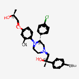 C[C@H](O)COc1ccc(N2CCN(C[C@@](C)(O)c3ccc(C(C)(C)C)cc3)C[C@H]2c2ccc(Cl)cc2)c(C#N)c1